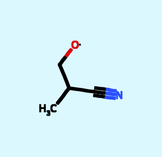 CC(C#N)C[O]